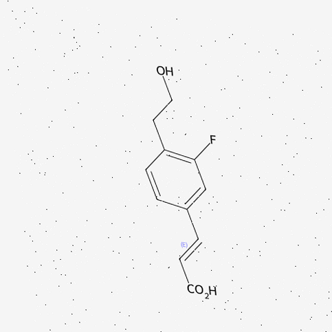 O=C(O)/C=C/c1ccc(CCO)c(F)c1